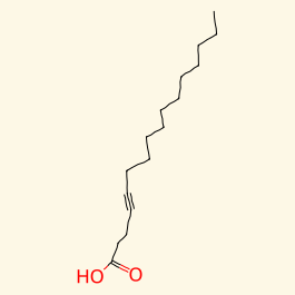 CCCCCCCCCCCC#CCCC(=O)O